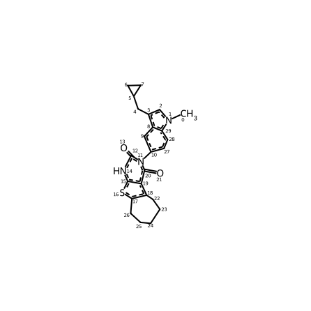 Cn1cc(CC2CC2)c2cc(-n3c(=O)[nH]c4sc5c(c4c3=O)CCCCC5)ccc21